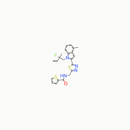 C=CC(C)(F)Cn1c(-c2nnc(CNC(=O)c3cccs3)s2)cc2c(C)cccc21